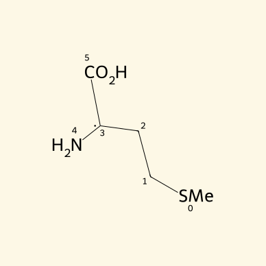 CSCC[C](N)C(=O)O